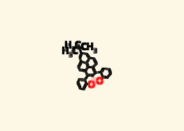 CC(C)(C)c1cc2ccc3c4c5c(c6ccc(c1)c2c36)-c1ccccc1OB5Oc1ccccc1-4